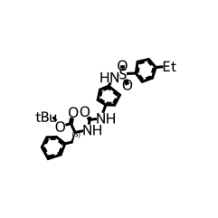 CCc1ccc(S(=O)(=O)Nc2ccc(NC(=O)N[C@@H](Cc3ccccc3)C(=O)OC(C)(C)C)cc2)cc1